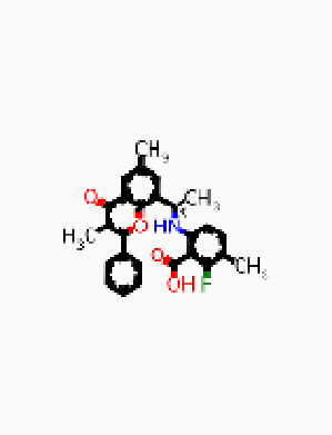 Cc1cc([C@@H](C)Nc2ccc(C)c(F)c2C(=O)O)c2oc(-c3ccccc3)c(C)c(=O)c2c1